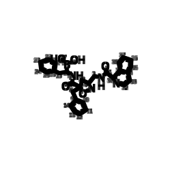 O=C(NCC1=NOC(Cc2ccccc2)(C(=O)NC(Cc2ccccc2)B(O)O)C1)c1nccc2ccccc12